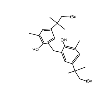 Cc1cc(C(C)(C)CC(C)(C)C)cc(Cc2cc(C(C)(C)CC(C)(C)C)cc(C)c2O)c1O